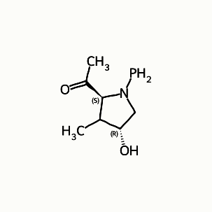 CC(=O)[C@@H]1C(C)[C@@H](O)CN1P